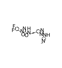 CCN1CCC(Nc2cnc3ccc(C#CCNC(=O)c4cncn(Cc5ccc(F)c(F)c5)c4=O)cc3n2)CC1